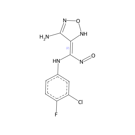 NC1=NON/C1=C(\N=O)Nc1ccc(F)c(Cl)c1